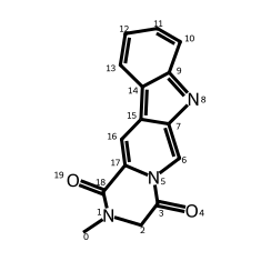 CN1CC(=O)n2cc3nc4ccccc4c-3cc2C1=O